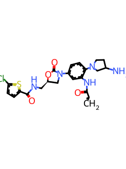 C=CC(=O)Nc1cc(N2C[C@@H](CNC(=O)c3ccc(Cl)s3)OC2=O)ccc1N1CCC(N)C1